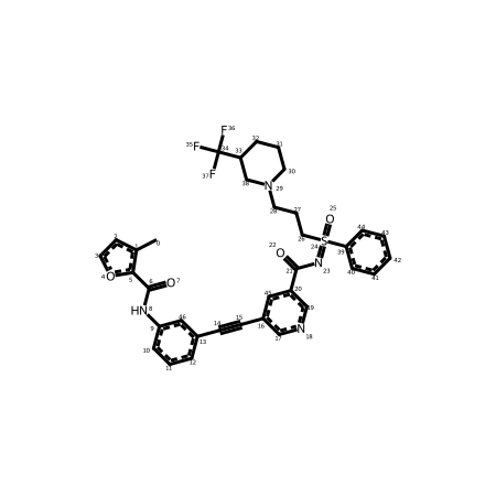 Cc1ccoc1C(=O)Nc1cccc(C#Cc2cncc(C(=O)N=S(=O)(CCCN3CCCC(C(F)(F)F)C3)c3ccccc3)c2)c1